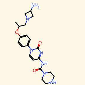 CC(CN1CC(N)C1)Oc1ccc(-n2ccc(NC(=O)N3CCNCC3)nc2=O)cc1